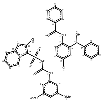 COc1cc(OC)nc(NC(=O)NS(=O)(=O)c2c(Cl)nc3ccccn23)n1.O=C(Nc1ccc(Cl)cc1C(O)c1ccccc1)c1ccncc1